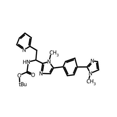 Cn1ccnc1-c1ccc(-c2cnc(C(Cc3ccccn3)NC(=O)OC(C)(C)C)n2C)cc1